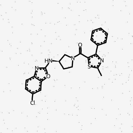 Cc1nc(-c2ccccc2)c(C(=O)N2CC[C@@H](Nc3nc4ccc(Cl)cc4o3)C2)s1